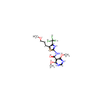 COCCCc1sc(NC(=O)c2c(OC)ncnc2OC)nc1C(F)(F)F